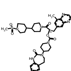 Cc1cc(C[C@@H](OC(=O)N2CCC(N3CCc4ccccc4NC3=O)CC2)C(=O)N2CCC(C3CCN(S(C)(=O)=O)CC3)CC2)cc2nccnc12